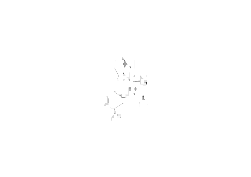 O=c1onc(N2C=CON2)n1-c1cccc(C(F)(F)F)c1